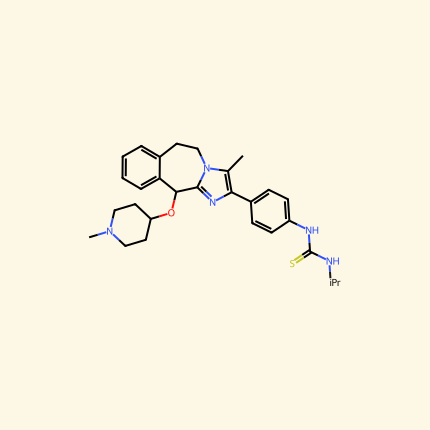 Cc1c(-c2ccc(NC(=S)NC(C)C)cc2)nc2n1CCc1ccccc1C2OC1CCN(C)CC1